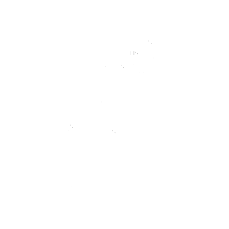 COCCOc1cc2nccc(Oc3ccc4c(ccn4C(=O)Nc4nccs4)c3)c2cc1N